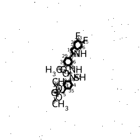 CCOP(=O)(Cc1ccc(N(S)C(=O)Nc2cc(-c3cc4cc(F)c(F)cc4[nH]3)ccc2OC)cc1)OCC